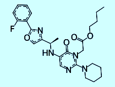 CCCCOC(=O)Cn1c(N2CCCCC2)ncc(N[C@H](C)c2coc(-c3ccccc3F)n2)c1=O